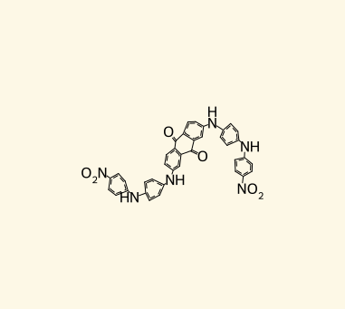 O=C1c2ccc(Nc3ccc(Nc4ccc([N+](=O)[O-])cc4)cc3)cc2C(=O)c2cc(Nc3ccc(Nc4ccc([N+](=O)[O-])cc4)cc3)ccc21